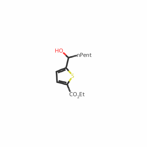 CCCCCC(O)c1ccc(C(=O)OCC)s1